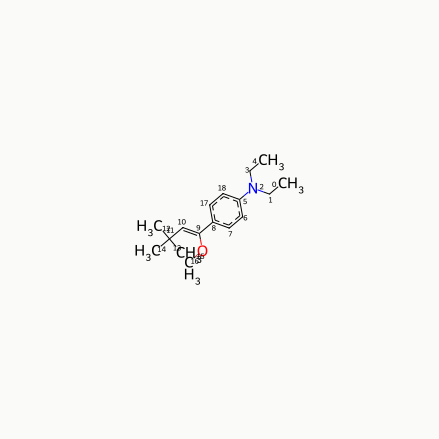 CCN(CC)c1ccc(C(=CC(C)(C)C)OC)cc1